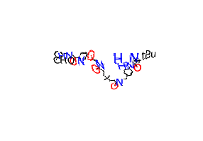 CN(CCOc1ccc(C(=O)CNCc2cccc(C=O)c2)nc1)C(=O)CCC(C)(C)CCC(=O)N(C)CCc1ccc(NC(=O)[C@@H](N)CC(C)(C)C)cc1